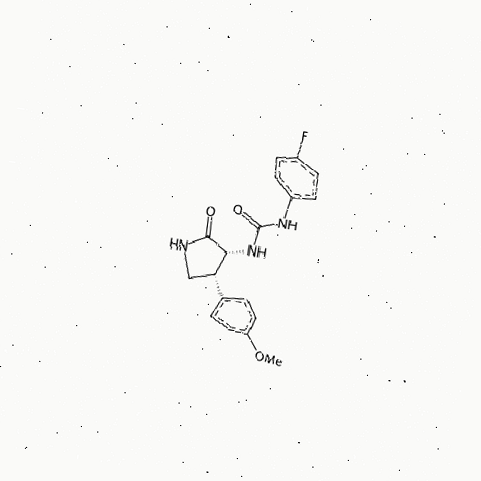 COc1ccc([C@@H]2CNC(=O)[C@@H]2NC(=O)Nc2ccc(F)cc2)cc1